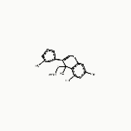 CC(=O)NOC1(O)C(c2cccc(C#N)c2)=COc2cc(O)cc(O)c21